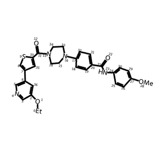 CCOc1cncc(-c2csc(C(=O)N3CCN(c4ccc(C(=O)Nc5ccc(OC)cc5)cc4)CC3)c2)c1